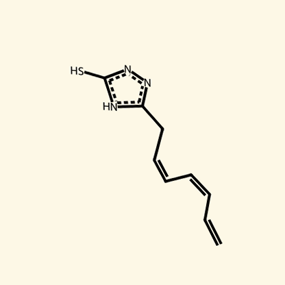 C=C/C=C\C=C/Cc1nnc(S)[nH]1